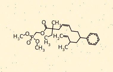 C=CC(C)CC(CC/C=C\CC(C)(CC)C(=O)OCP(=O)(OC)OC)c1ccccc1